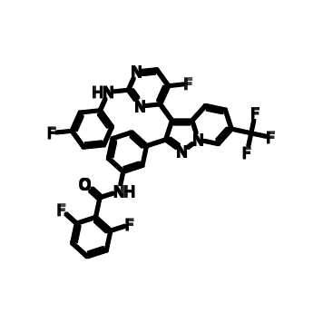 O=C(Nc1cccc(-c2nn3cc(C(F)(F)F)ccc3c2-c2nc(Nc3cccc(F)c3)ncc2F)c1)c1c(F)cccc1F